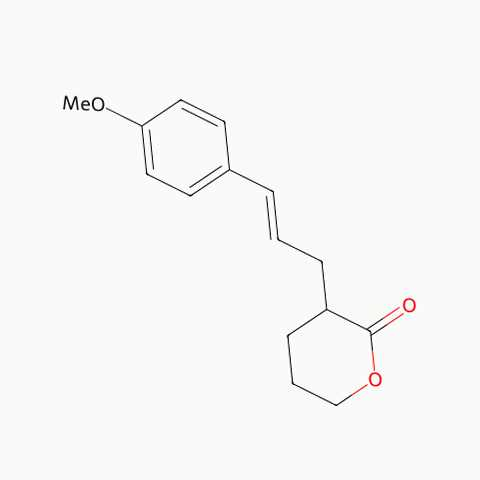 COc1ccc(/C=C/CC2CCCOC2=O)cc1